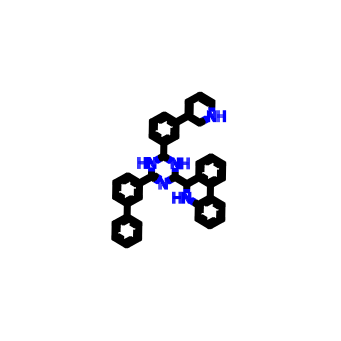 C1=CNCC(c2cccc(C3NC(c4cccc(-c5ccccc5)c4)=NC(C4Nc5ccccc5-c5ccccc54)N3)c2)=C1